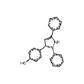 Oc1ccc(C2C=C(c3ccccc3)NN2c2ccccc2)cc1